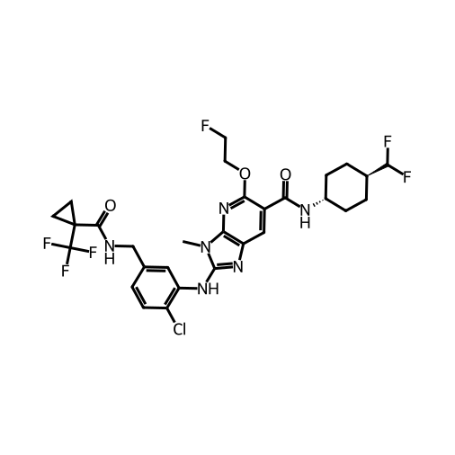 Cn1c(Nc2cc(CNC(=O)C3(C(F)(F)F)CC3)ccc2Cl)nc2cc(C(=O)N[C@H]3CC[C@H](C(F)F)CC3)c(OCCF)nc21